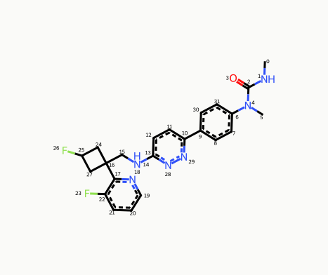 CNC(=O)N(C)c1ccc(-c2ccc(NCC3(c4ncccc4F)CC(F)C3)nn2)cc1